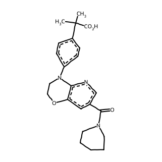 CC(C)(C(=O)O)c1ccc(N2CCOc3cc(C(=O)N4CCCCC4)cnc32)cc1